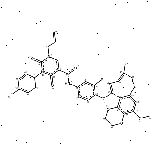 C=CCn1cc(C(=O)Nc2ccc(O/C3=C/C=C(\C)CCc4cc(OC)c5c(c43)OCCO5)c(F)c2)c(=O)n(C2C=CC(F)=CC2)c1=O